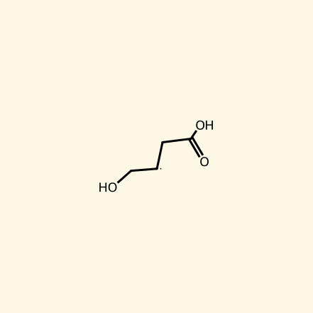 O=C(O)C[CH]CO